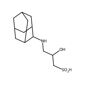 O=S(=O)(O)CC(O)CNC1C2CC3CC(C2)CC1C3